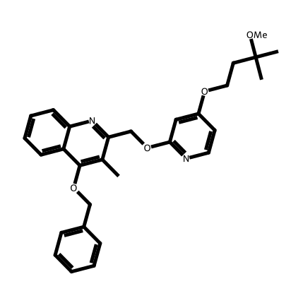 COC(C)(C)CCOc1ccnc(OCc2nc3ccccc3c(OCc3ccccc3)c2C)c1